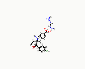 CCC(Cc1ccc(C(=O)ON(C)CCNC)cc1)(C(=O)c1ccc(F)cc1)N(C)C